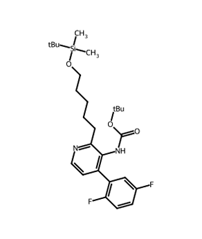 CC(C)(C)OC(=O)Nc1c(-c2cc(F)ccc2F)ccnc1CCCCCO[Si](C)(C)C(C)(C)C